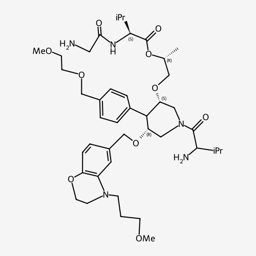 COCCCN1CCOc2ccc(CO[C@H]3CN(C(=O)C(N)C(C)C)C[C@@H](OC[C@@H](C)OC(=O)[C@@H](NC(=O)CN)C(C)C)C3c3ccc(COCCOC)cc3)cc21